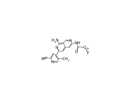 Cc1cnc(C#N)cc1-c1cc2cc(NC(=O)C3C[C@H]3F)ncc2c(N)n1